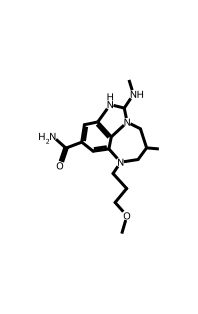 CNC1Nc2cc(C(N)=O)cc3c2N1CC(C)CN3CCCOC